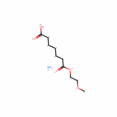 COCCOC(=O)CCCCCC(=O)O.N